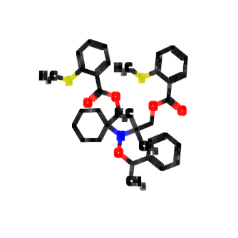 CSc1ccccc1C(=O)OCC(C)(C)N(OC(C)c1ccccc1)C1(COC(=O)c2ccccc2SC)CCCCC1